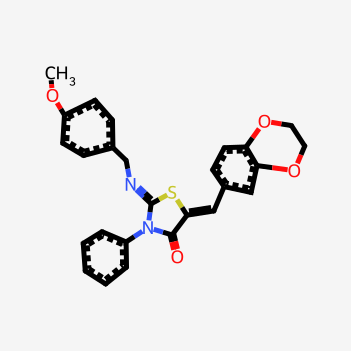 COc1ccc(C/N=C2\S/C(=C\c3ccc4c(c3)OCCO4)C(=O)N2c2ccccc2)cc1